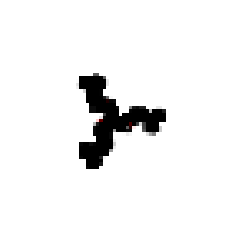 c1ccc2c(c1)c1ccccc1n2-c1ccc2oc3cc4c(cc3c2c1)oc1ccc(N(c2ccc3oc5cc6c(cc5c3c2)oc2ccc(-n3c5ccccc5c5ccccc53)cc26)c2ccc3oc5cc6c(cc5c3c2)oc2ccc(-n3c5ccccc5c5ccccc53)cc26)cc14